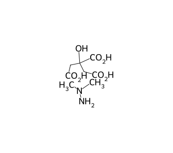 CN(C)N.O=C(O)CC(O)(CC(=O)O)C(=O)O